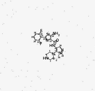 C[C@@H]1CNCCN1C1=C(NC(=O)c2nc(-c3c(F)cccc3F)sc2N)C=N[N+]1(C)C